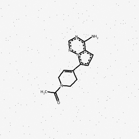 CC(=O)N1CC=C(c2ccc3c(N)ncnn23)CC1